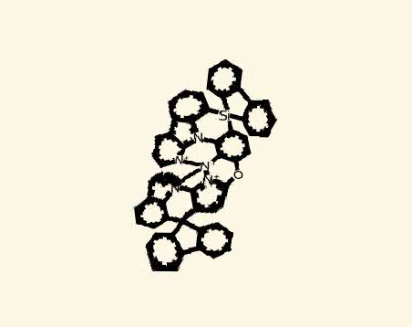 c1ccc2c(c1)-c1ccccc1C21c2ccc3[n+]4c2-n2c5c1cccc5c1cccc(c12)[N+]41c2c(ccc4c2-n2c5c(cccc5c5ccc[n+]1c52)[Si]41c2ccccc2-c2ccccc21)O3